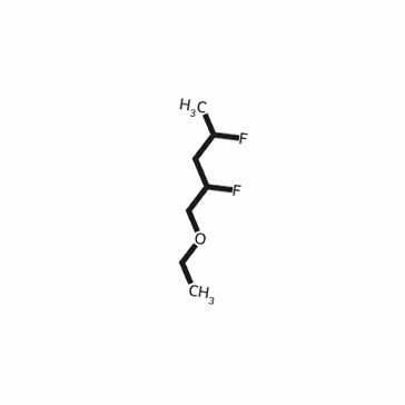 CCOCC(F)CC(C)F